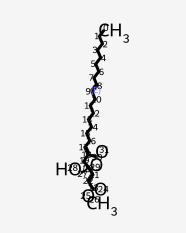 CCCCCCCC/C=C/CCCCCCCC=C1C[C@](C=CC(=O)OC)(CO)OC1=O